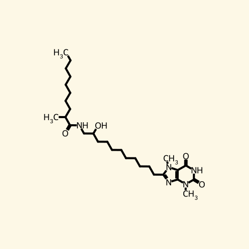 CCCCCCCCC(C)C(=O)NCC(O)CCCCCCCCCc1nc2c(c(=O)[nH]c(=O)n2C)n1C